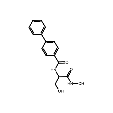 O=C(NC(CO)C(=O)NO)c1ccc(-c2ccccc2)cc1